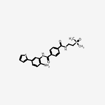 CP(C)(=O)CCNC(=O)c1ccc(C(=O)Nc2cc(-c3cccs3)ccc2N)cc1